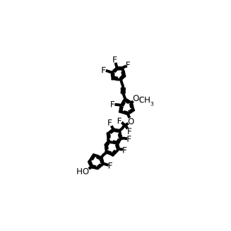 COc1cc(OC(F)(F)c2c(F)cc3cc(-c4ccc(O)cc4F)cc(F)c3c2F)cc(F)c1C#Cc1cc(F)c(F)c(F)c1